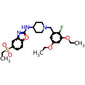 CCOc1cc(CN2CCC(Nc3nc4cc(S(=O)(=O)CC)ccc4o3)CC2)c(F)c(OCC)c1